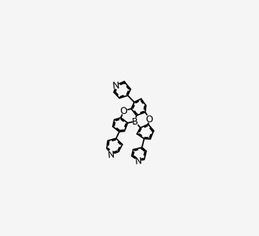 c1cc(-c2ccc3c(c2)B2c4cc(-c5ccncc5)ccc4Oc4c(-c5ccncc5)ccc(c42)O3)ccn1